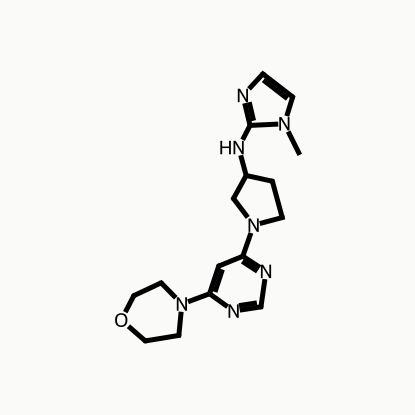 Cn1ccnc1NC1CCN(c2cc(N3CCOCC3)ncn2)C1